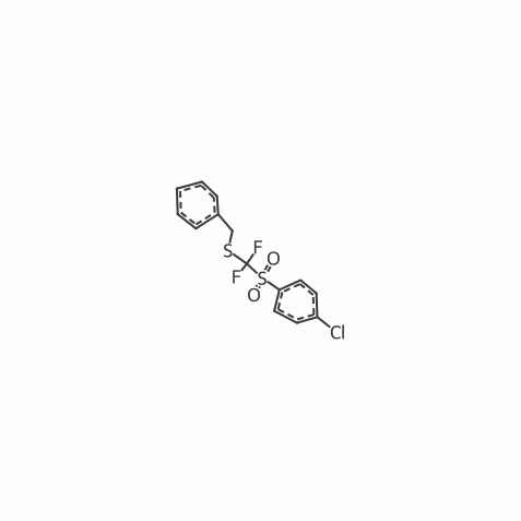 O=S(=O)(c1ccc(Cl)cc1)C(F)(F)SCc1ccccc1